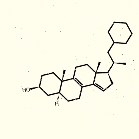 C[C@H](CC1CCCCC1)[C@H]1CC=C2C3=C(CC[C@@]21C)[C@@]1(C)CC[C@H](O)C[C@@H]1CC3